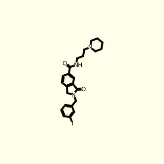 O=C(NCCCN1CCCCC1)c1ccc2c(c1)C(=O)N(Cc1cccc(I)c1)C2